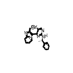 Cc1nc2ccccn2c1-c1nc(N[C@@H](C)c2ccccc2)ncc1Br